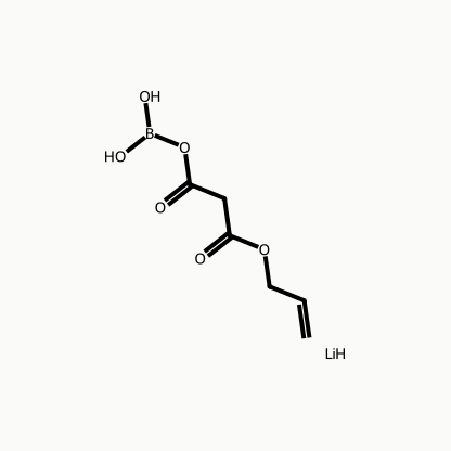 C=CCOC(=O)CC(=O)OB(O)O.[LiH]